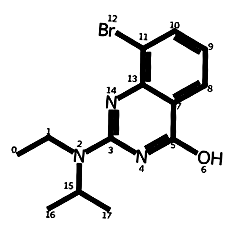 CCN(c1nc(O)c2cccc(Br)c2n1)C(C)C